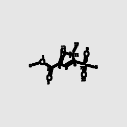 COC(=O)c1cc(S(C)(=O)=O)n(C)n1